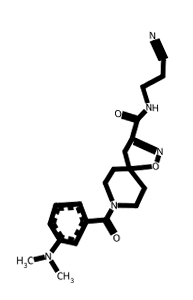 CN(C)c1cccc(C(=O)N2CCC3(CC2)CC(C(=O)NCCC#N)=NO3)c1